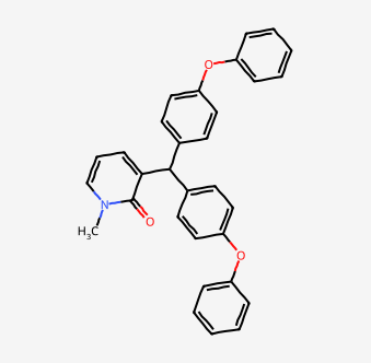 Cn1cccc(C(c2ccc(Oc3ccccc3)cc2)c2ccc(Oc3ccccc3)cc2)c1=O